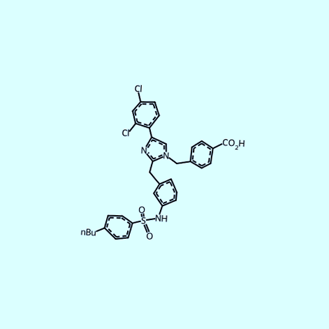 CCCCc1ccc(S(=O)(=O)Nc2cccc(Cc3nc(-c4ccc(Cl)cc4Cl)cn3Cc3ccc(C(=O)O)cc3)c2)cc1